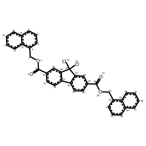 O=C(OCc1cccc2ccccc12)c1ccc2c(c1)C(Cl)(Cl)c1cc(C(=O)OCc3cccc4ccccc34)ccc1-2